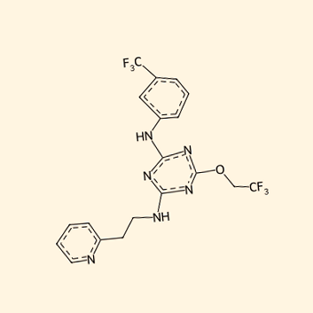 FC(F)(F)COc1nc(NCCc2ccccn2)nc(Nc2cccc(C(F)(F)F)c2)n1